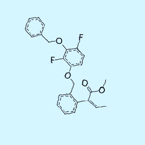 CC=C(C(=O)OC)c1ccccc1COc1ccc(F)c(OCc2ccccc2)c1F